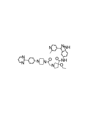 CCOC1(C(=O)Nc2ccc3[nH]nc(-c4ccnc(C)c4)c3c2)CCN(CC(=O)N2CCN(c3ccc(-c4ncccn4)cc3)CC2)C1